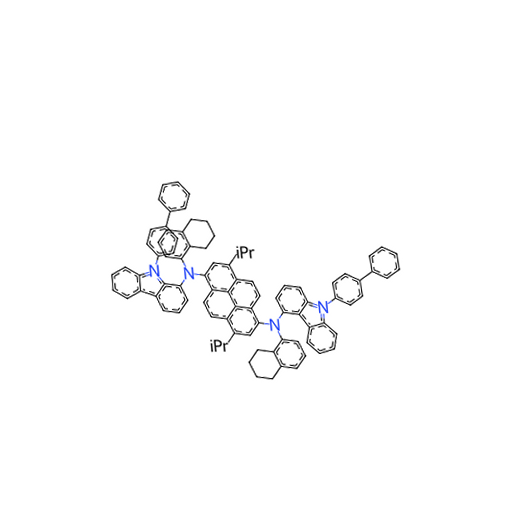 CC(C)c1cc(N(c2cccc3c2CCCC3)c2cccc3c2c2ccccc2n3-c2ccc(-c3ccccc3)cc2)c2ccc3c(C(C)C)cc(N(c4cccc5c4CCCC5)c4cccc5c6ccccc6n(-c6ccc(-c7ccccc7)cc6)c45)c4ccc1c2c34